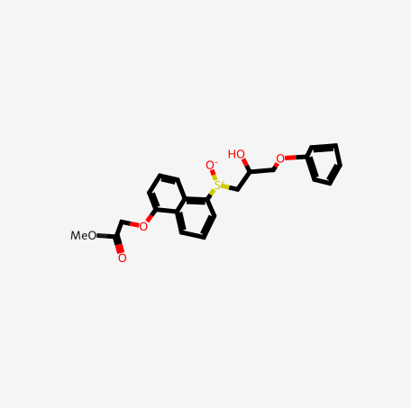 COC(=O)COc1cccc2c([S+]([O-])CC(O)COc3ccccc3)cccc12